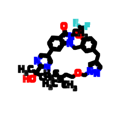 Cn1c(=O)c2ccc(-c3cnc(C(C)(C)O)nc3)cc2n1Cc1cc(Cc2cnn(COCC[Si](C)(C)C)c2)ccc1OC(F)F